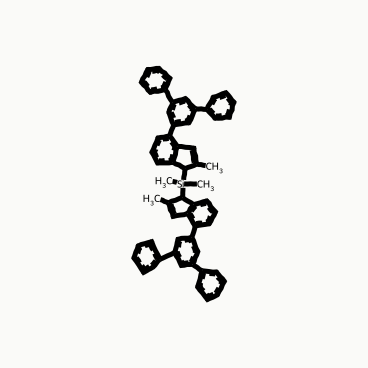 CC1=Cc2c(-c3cc(-c4ccccc4)cc(-c4ccccc4)c3)cccc2C1[Si](C)(C)C1C(C)=Cc2c(-c3cc(-c4ccccc4)cc(-c4ccccc4)c3)cccc21